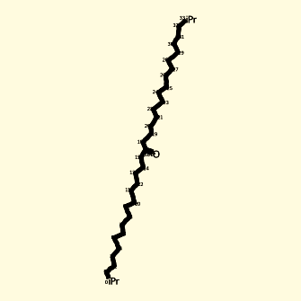 CC(C)CCCCCCCCCCCCCCCC(=O)CCCCCCCCCCCCCCCC(C)C